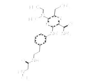 CCc1nc(C(N)=O)c(Nc2cccc(CCNC(=O)CNC)c2)nc1N(C)CC